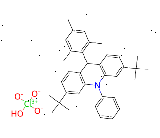 Cc1cc(C)c(C2c3ccc(C(C)(C)C)cc3N(c3ccccc3)c3cc(C(C)(C)C)ccc32)c(C)c1.[O-][Cl+3]([O-])([O-])O